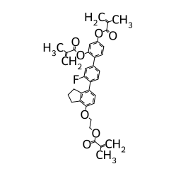 C=C(C)C(=O)OCCOc1ccc(-c2ccc(-c3ccc(OC(=O)C(=C)C)cc3OC(=O)C(=C)C)cc2F)c2c1CCC2